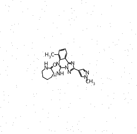 Cc1cccc2c1nc(N[C@@H]1CCCCNC1=O)n1nc(-c3cnn(C)c3)nc21